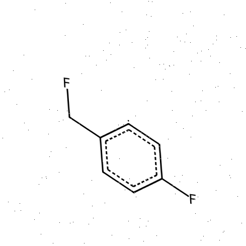 FCc1[c]cc(F)cc1